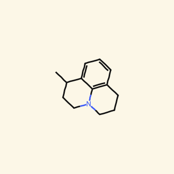 CC1CCN2CCCc3cccc1c32